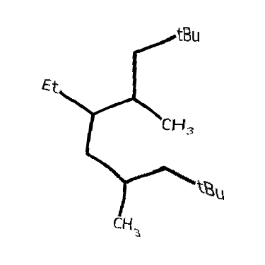 [CH2]CC(CC(C)CC(C)(C)C)C(C)CC(C)(C)C